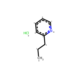 CCCc1ccccn1.Cl